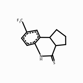 FC(F)(F)c1ccc2c(c1)C1CCCC1C(=S)N2